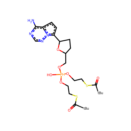 CC(C)(C)C(=O)SCCO[PH](O)(OCCSC(=O)C(C)(C)C)OCC1CCC(c2ccc3c(N)ncnn23)O1